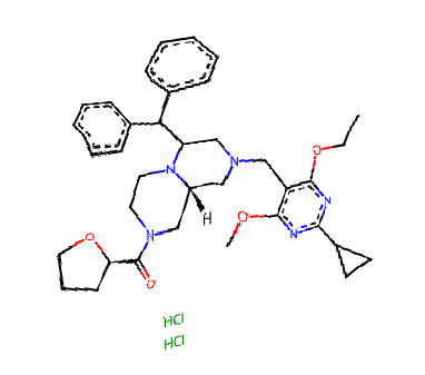 CCOc1nc(C2CC2)nc(OC)c1CN1CC(C(c2ccccc2)c2ccccc2)N2CCN(C(=O)[C@H]3CCCO3)C[C@H]2C1.Cl.Cl